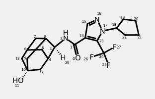 O=C(N[C@H]1C2CC3CC1C[C@](O)(C3)C2)c1cnn(C2CCCC2)c1C(F)(F)F